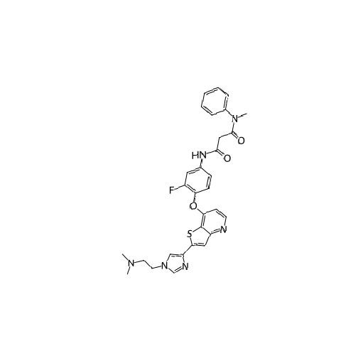 CN(C)CCn1cnc(-c2cc3nccc(Oc4ccc(NC(=O)CC(=O)N(C)c5ccccc5)cc4F)c3s2)c1